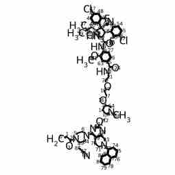 C=CC(=O)N1CCN(c2nc(OC[C@@H]3C[C@@H](OCCOCCNC(=O)c4ccc(NC(=O)[C@@H]5N[C@@H](CC(C)(C)C)[C@](C#N)(c6ccc(Cl)cc6F)[C@H]5c5cccc(Cl)c5F)c(OC)c4)CN3C)nc3c2CCN(c2cccc4ccccc24)C3)C[C@@H]1CC#N